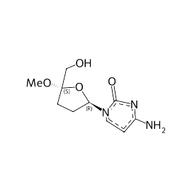 CO[C@@]1(CO)CC[C@H](n2ccc(N)nc2=O)O1